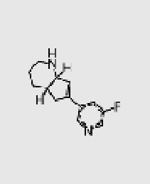 Fc1cncc(C2=C[C@H]3NCCC[C@H]3C2)c1